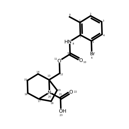 Cc1cccc(Br)c1NC(=O)OCC12CCCC(CC1)N2C(=O)O